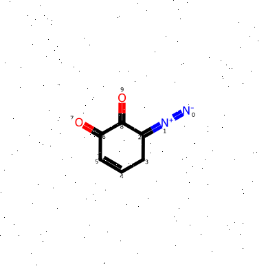 [N-]=[N+]=C1CC=CC(=O)C1=O